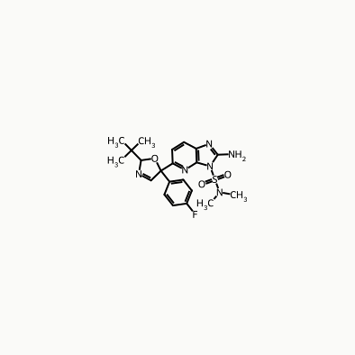 CN(C)S(=O)(=O)n1c(N)nc2ccc(C3(c4ccc(F)cc4)C=NC(C(C)(C)C)O3)nc21